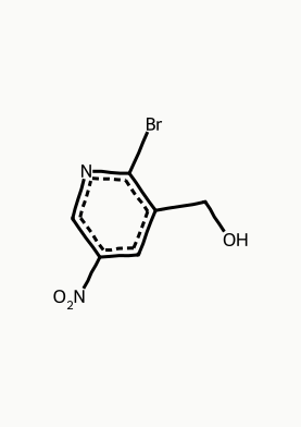 O=[N+]([O-])c1cnc(Br)c(CO)c1